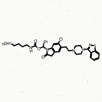 CCCCCCCCCCCCCCNC(=O)OC(C(C)C)N1C(=O)Cc2cc(CCN3CCN(c4nsc5ccccc45)CC3)c(Cl)cc21